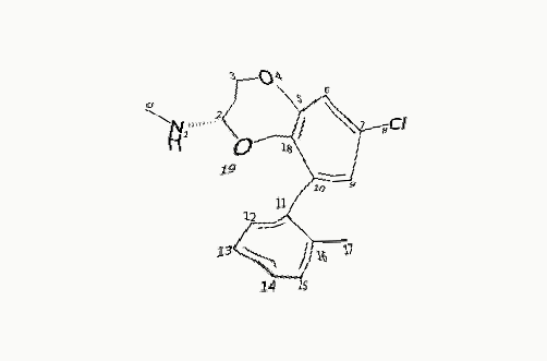 CN[C@@H]1COc2cc(Cl)cc(-c3ccccc3C)c2O1